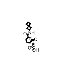 O=C(NC1CC2(CCC2)C1)C1CCC2CN1C(=O)N2OS(=O)O